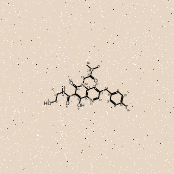 C[C@@H](CO)NC(=O)c1c(O)c2ncc(Cc3ccc(F)cc3)cc2n(CC(=O)N(C)C)c1=O